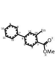 COC(=O)c1ccc(-c2ccccc2)cc1I